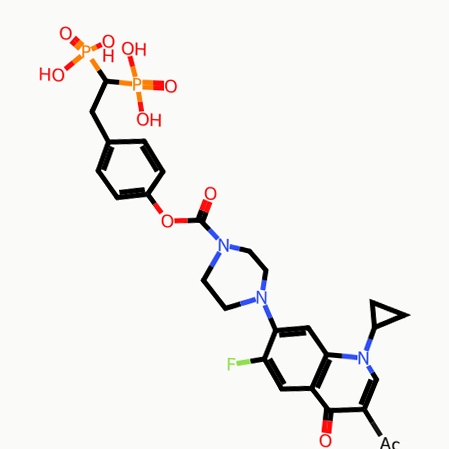 CC(=O)c1cn(C2CC2)c2cc(N3CCN(C(=O)Oc4ccc(CC(P(=O)(O)O)P(=O)(O)O)cc4)CC3)c(F)cc2c1=O